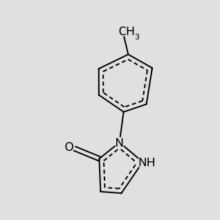 Cc1ccc(-n2[nH]ccc2=O)cc1